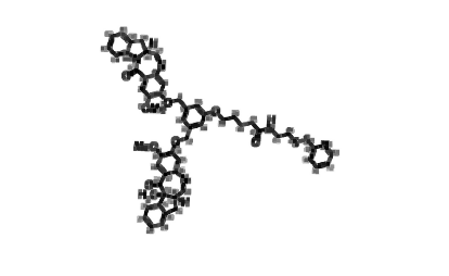 COc1cc2c(cc1OCc1cc(COc3cc4c(cc3OC)C(=O)C3(C)c5ccccc5C[C@H]3C=N4)cc(OCCCCC(=O)NCCSSc3ccccn3)c1)N=C[C@@H]1Cc3ccccc3N1C2=O